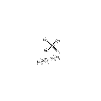 O.O=P(O)(O)O.[CaH2].[SiH4].[SrH2].[Zn]